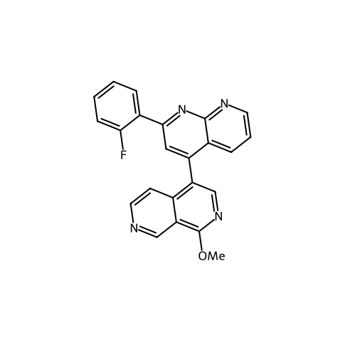 COc1ncc(-c2cc(-c3ccccc3F)nc3ncccc23)c2ccncc12